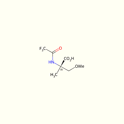 COC[C@](C)(NC(=O)C(F)(F)F)C(=O)O